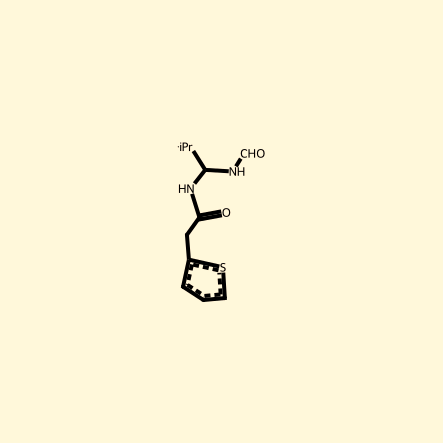 C[C](C)C(NC=O)NC(=O)Cc1cccs1